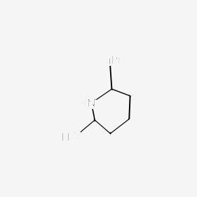 CC(C)C1CCCC(O)N1